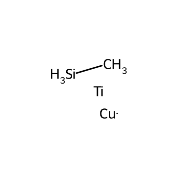 C[SiH3].[Cu].[Ti]